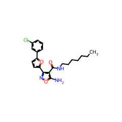 CCCCCCCNC(=O)c1c(-c2ccc(-c3cccc(Cl)c3)o2)noc1N